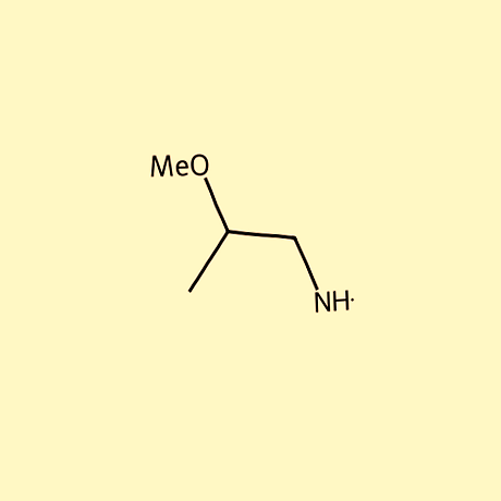 COC(C)C[NH]